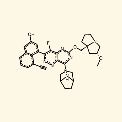 C#Cc1cccc2cc(O)cc(-c3nnc4c(N5CC6CCC(C5)N6)nc(OC[C@@]56CCCN5C[C@H](OC)C6)nc4c3F)c12